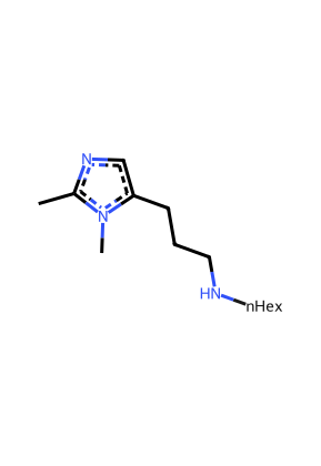 CCCCCCNCCCc1cnc(C)n1C